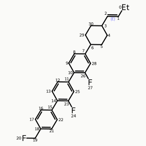 CC/C=C/C1CCC(c2ccc(-c3ccc(-c4ccc(CF)cc4)c(F)c3)c(F)c2)CC1